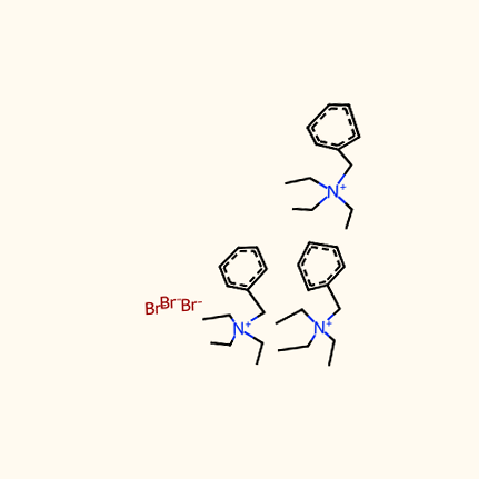 CC[N+](CC)(CC)Cc1ccccc1.CC[N+](CC)(CC)Cc1ccccc1.CC[N+](CC)(CC)Cc1ccccc1.[Br-].[Br-].[Br-]